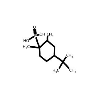 CC1CC(C(C)(C)C)CCC1(C)P(=O)(O)O